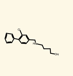 OCCCCNCc1ccc(-c2ccccc2)c(Cl)c1